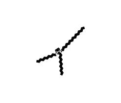 CCCCCCCCCCCCCCCN1C=CN(CCCCCCCCCC)C1CCCCCCCCCC